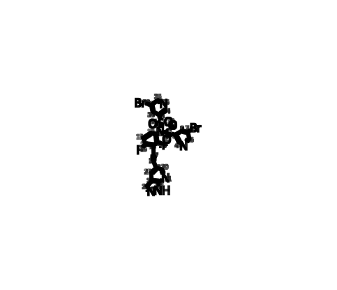 O=S(=O)(c1cncc(Br)c1)N(c1ccc(F)c(C#Cc2cnc3[nH]ncc3c2)c1F)S(=O)(=O)c1cncc(Br)c1